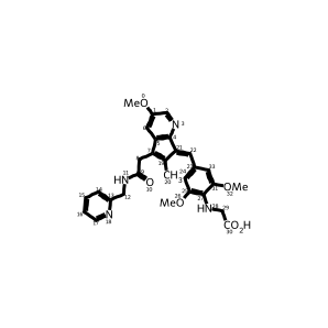 COc1cnc2c(c1)C(CC(=O)NCc1ccccn1)=C(C)C2=Cc1cc(OC)c(NCC(=O)O)c(OC)c1